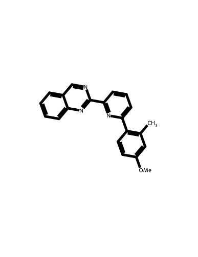 COc1ccc(-c2cccc(-c3ncc4ccccc4n3)n2)c(C)c1